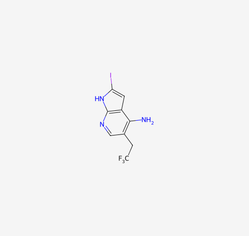 Nc1c(CC(F)(F)F)cnc2[nH]c(I)cc12